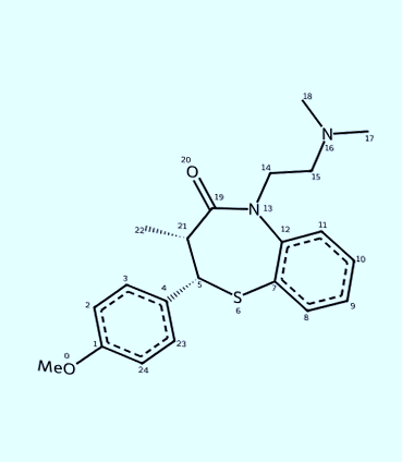 COc1ccc([C@H]2Sc3ccccc3N(CCN(C)C)C(=O)[C@H]2C)cc1